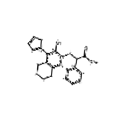 COC(=O)C(Sc1nc2c(c(C3=CC=CC3)c1C#N)CCCC2)c1ccccc1